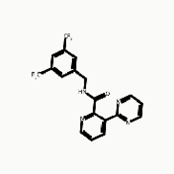 O=C(NCc1cc(C(F)(F)F)cc(C(F)(F)F)c1)c1ncccc1-c1ncccn1